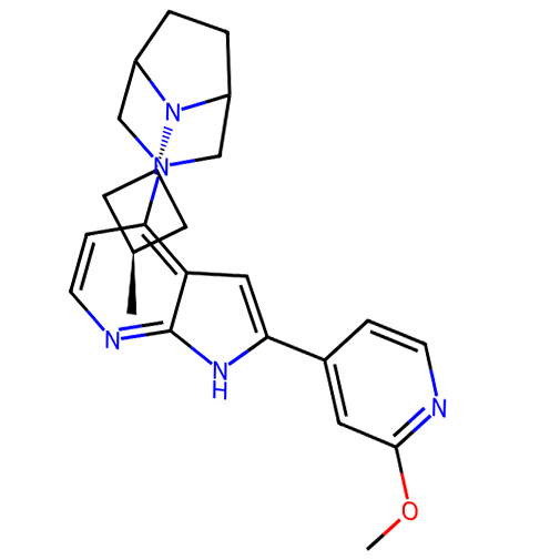 COc1cc(-c2cc3c(N4CC5CCC(C4)N5[C@H]4C[C@H](C)C4)ccnc3[nH]2)ccn1